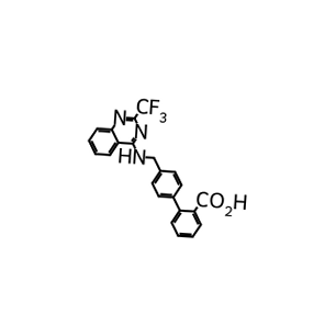 O=C(O)c1ccccc1-c1ccc(CNc2nc(C(F)(F)F)nc3ccccc23)cc1